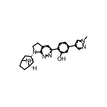 Cn1cc(-c2ccc(-c3cc4c(nn3)N([C@H]3CC5CC[C@H](C3)N5)CC4)c(O)c2)cn1